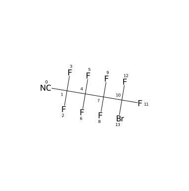 N#CC(F)(F)C(F)(F)C(F)(F)C(F)(F)Br